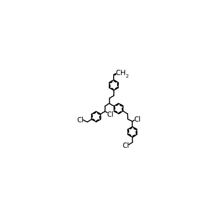 C=Cc1ccc(CCC(CC(Cl)c2ccc(CCl)cc2)c2ccc(CCC(Cl)c3ccc(CCl)cc3)cc2)cc1